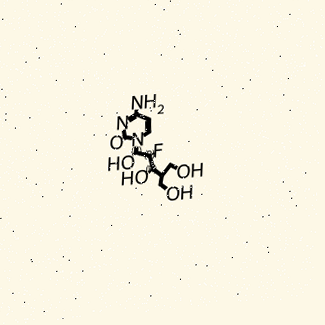 Nc1ccn([C@H](O)[C@H](F)[C@H](O)C(CO)CO)c(=O)n1